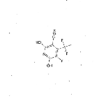 CC(F)(F)c1c(F)c(O)nc(O)c1C#N